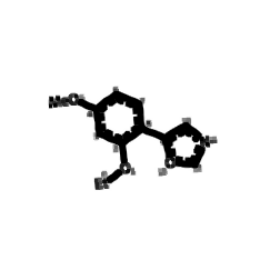 CCOc1cc(OC)ccc1-c1cnco1